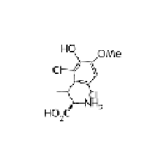 COc1cc(Cl)c(C(C)[C@@H](N)C(=O)O)c(Cl)c1O